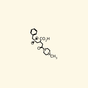 CN1CCN(C(=O)CC(CS(=O)(=O)Cc2ccccc2)C(=O)O)CC1